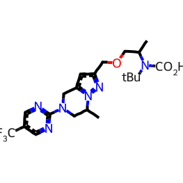 CC(COCc1cc2n(n1)C(C)CN(c1ncc(C(F)(F)F)cn1)C2)N(C(=O)O)C(C)(C)C